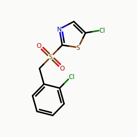 O=S(=O)(Cc1ccccc1Cl)c1ncc(Cl)s1